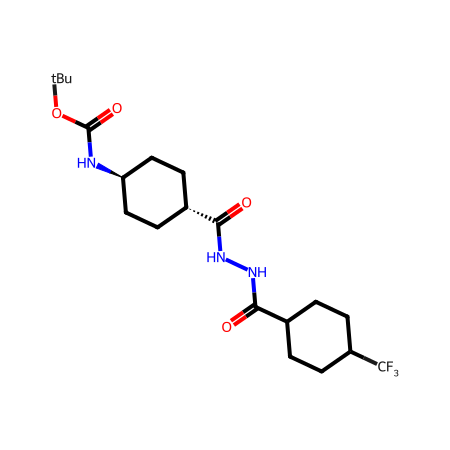 CC(C)(C)OC(=O)N[C@H]1CC[C@H](C(=O)NNC(=O)C2CCC(C(F)(F)F)CC2)CC1